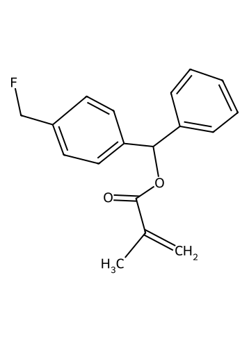 C=C(C)C(=O)OC(c1ccccc1)c1ccc(CF)cc1